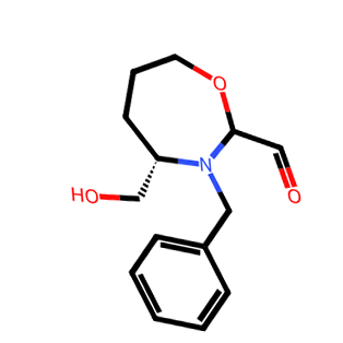 O=CC1OCCC[C@@H](CO)N1Cc1ccccc1